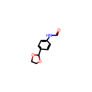 O=CNc1ccc(C2OCCO2)cc1